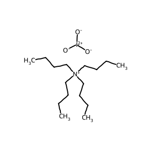 CCCC[N+](CCCC)(CCCC)CCCC.[O-][I+2]([O-])[O-]